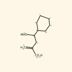 C=C(CC(OC)C1CCCCC1)C(=O)O